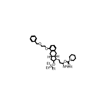 CCCCC[C@@H](CC[C@H]1C(O[Si](CC)(CC)CC)C[C@@H]2Cc3c(cccc3OCCOCc3ccccc3)C[C@@H]21)OC(=O)N1CCCCC1